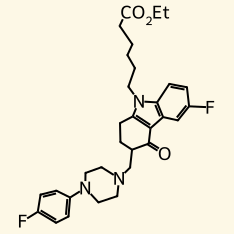 CCOC(=O)CCCCCn1c2c(c3cc(F)ccc31)C(=O)C(CN1CCN(c3ccc(F)cc3)CC1)CC2